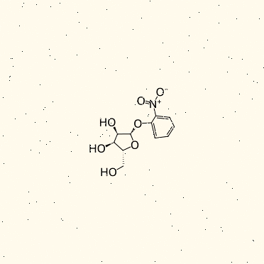 O=[N+]([O-])c1ccccc1O[C@H]1O[C@H](CO)[C@@H](O)[C@H]1O